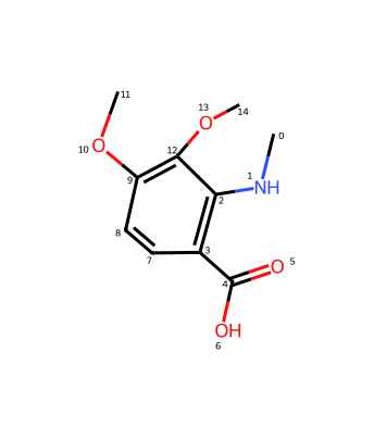 CNc1c(C(=O)O)ccc(OC)c1OC